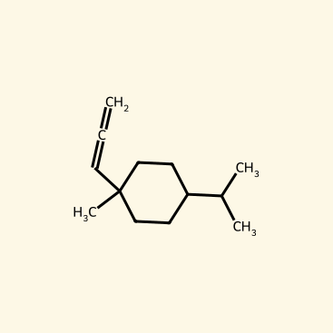 C=C=CC1(C)CCC(C(C)C)CC1